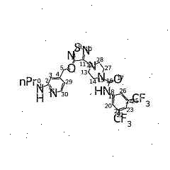 CCCNc1cc(COc2nsnc2N2CCN(C(=O)Nc3cc(C(F)(F)F)cc(C(F)(F)F)c3)CC2)ccn1